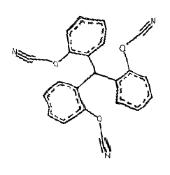 N#COc1ccccc1C(c1ccccc1OC#N)c1ccccc1OC#N